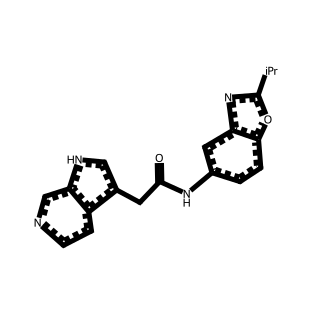 CC(C)c1nc2cc(NC(=O)Cc3c[nH]c4cnccc34)ccc2o1